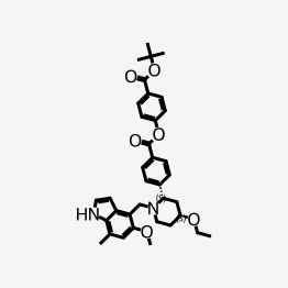 CCO[C@H]1CCN(Cc2c(OC)cc(C)c3[nH]ccc23)[C@H](c2ccc(C(=O)Oc3ccc(C(=O)OC(C)(C)C)cc3)cc2)C1